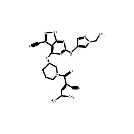 CCn1cc(Nc2nc(O[C@@H]3CCCN(C(=O)/C(C#N)=C/C(C)C)C3)c3c(C#N)n[nH]c3n2)cn1